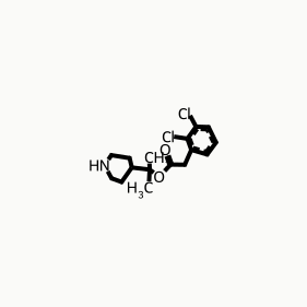 CC(C)(OC(=O)Cc1cccc(Cl)c1Cl)C1CCNCC1